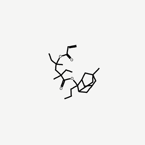 C=CC(=O)OC(C)(CC)CC(C)(CC)C(=O)OC1(CCC)C2CC3CC1CC(C)(C3)C2